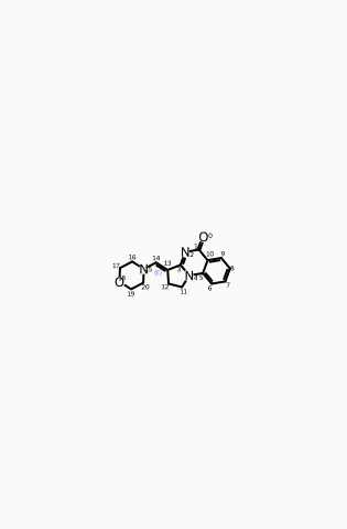 O=c1nc2n(c3ccccc13)CC/C2=C\N1CCOCC1